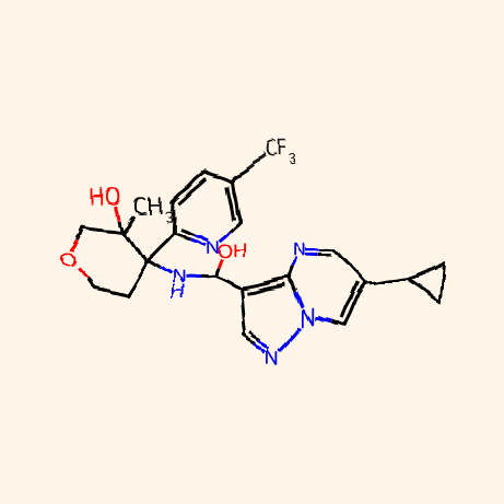 CC1(O)COCCC1(NC(O)c1cnn2cc(C3CC3)cnc12)c1ccc(C(F)(F)F)cn1